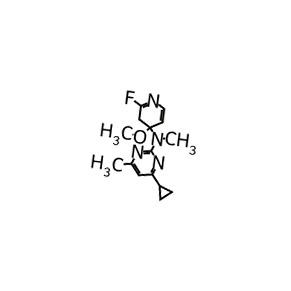 COC1(N(C)c2nc(C)cc(C3CC3)n2)C=CN=C(F)C1